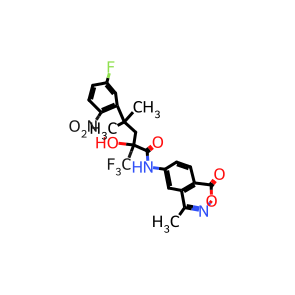 Cc1noc(=O)c2ccc(NC(=O)C(O)(CC(C)(C)c3cc(F)ccc3[N+](=O)[O-])C(F)(F)F)cc12